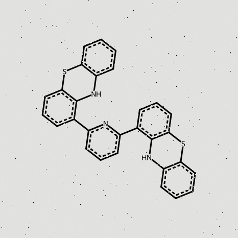 c1cc(-c2cccc3c2Nc2ccccc2S3)nc(-c2cccc3c2Nc2ccccc2S3)c1